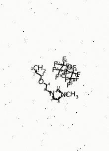 C=CCOCC[n+]1ccn(C)c1.O=P([O-])(C(F)(F)C(F)(F)F)C(F)(F)C(F)(F)F